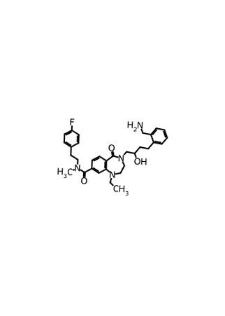 CCN1CCN(CC(O)CCc2ccccc2CN)C(=O)c2ccc(C(=O)N(C)CCc3ccc(F)cc3)cc21